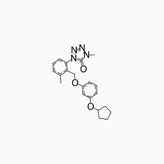 Cc1cccc(-n2nnn(C)c2=O)c1COc1cccc(OC2CCCC2)c1